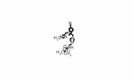 Cn1cnc(Cn2cc(CN3CCN(CCNC(=O)OC(C)(C)C)CC3)c3ccc(C#N)cc32)c1